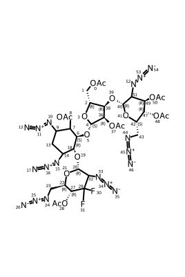 CC(=O)OC[C@H]1O[C@@H](O[C@@H]2C(OC(C)=O)C(N=[N+]=[N-])CC(N=[N+]=[N-])[C@H]2O[C@H]2O[C@H](CN=[N+]=[N-])[C@@H](OC(C)=O)C(F)(F)C2N=[N+]=[N-])[C@H](OC(C)=O)[C@@H]1O[C@H]1O[C@@H](CN=[N+]=[N-])[C@@H](OC(C)=O)[C@H](OC(C)=O)C1N=[N+]=[N-]